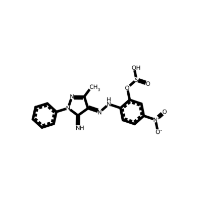 CC1=NN(c2ccccc2)C(=N)/C1=N/Nc1ccc([N+](=O)[O-])cc1OS(=O)O